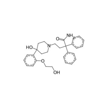 NC(=O)C(CCN1CCC(O)(c2ccccc2OCCO)CC1)(c1ccccc1)c1ccccc1